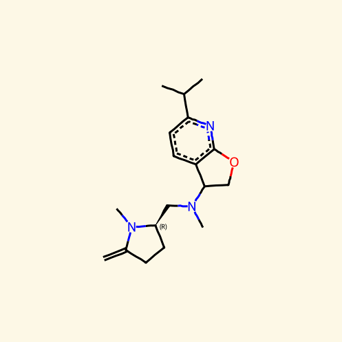 C=C1CC[C@H](CN(C)C2COc3nc(C(C)C)ccc32)N1C